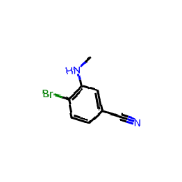 CNc1cc(C#N)ccc1Br